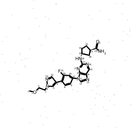 COCCn1cc(-c2ccc(-n3cnc4cnc(N[C@@H]5CC[C@@H](C(N)=O)C5)nc43)cc2F)cn1